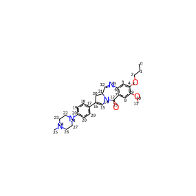 CCCOc1cc2c(cc1OC)C(=O)N1C=C(c3ccc(N4CCN(C)CC4)cc3)CC1C=N2